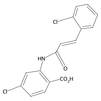 O=C(C=Cc1ccccc1Cl)Nc1cc(Cl)ccc1C(=O)O